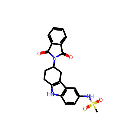 CS(=O)(=O)Nc1ccc2[nH]c3c(c2c1)CC(N1C(=O)c2ccccc2C1=O)CC3